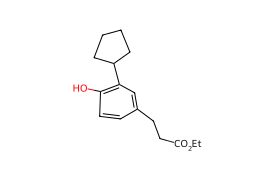 CCOC(=O)CCc1ccc(O)c(C2CCCC2)c1